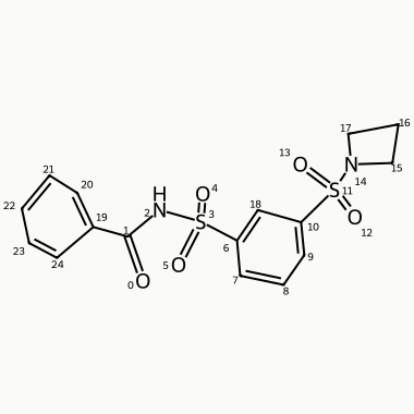 O=C(NS(=O)(=O)c1cccc(S(=O)(=O)N2CCC2)c1)c1ccccc1